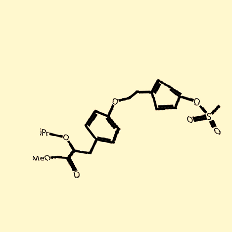 COC(=O)C(Cc1ccc(OCCc2ccc(OS(C)(=O)=O)cc2)cc1)OC(C)C